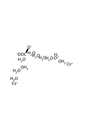 O.O.O.O.O.O.O.O.O.O.O=C([O-])[O-].[Cs+].[Cs+]